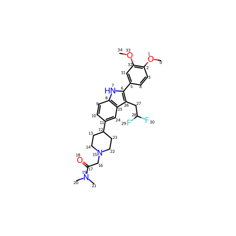 COc1ccc(-c2[nH]c3ccc(C4CCN(CC(=O)N(C)C)CC4)cc3c2CC(F)F)cc1OC